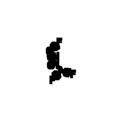 O=C(NCCC(c1ccc(F)cc1)c1ccc(F)cc1)c1ccc(Oc2ccc(F)cc2)cc1